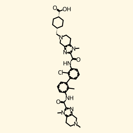 Cc1c(NC(=O)c2nc3c(n2C)CCN(C)C3)cccc1-c1cccc(NC(=O)c2nc3c(n2C)CCN(C[C@H]2CC[C@@H](C(=O)O)CC2)C3)c1Cl